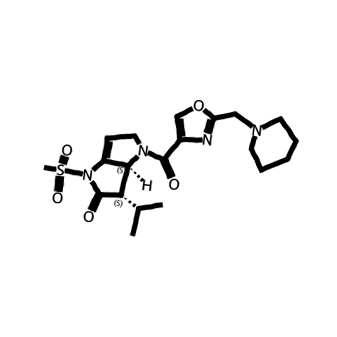 CC(C)[C@@H]1C(=O)N(S(C)(=O)=O)C2=CCN(C(=O)c3coc(CN4CCCCC4)n3)[C@H]21